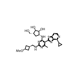 CO[C@H]1C[C@@H](CNc2nc(C)c(-c3nc4c(C5CC5)nccc4s3)c(N[C@@H]3C[C@H](CO)[C@@H](O)[C@H]3O)n2)C1